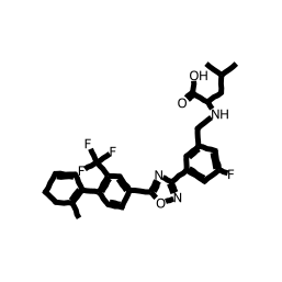 CC1=C(c2ccc(-c3nc(-c4cc(F)cc(CNC(CC(C)C)C(=O)O)c4)no3)cc2C(F)(F)F)C=CCC1